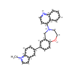 Cn1ccc2cc(-c3ccc4c(c3)CN(c3ccnc5ccccc35)CCO4)ccc21